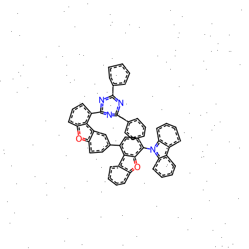 c1ccc(-c2nc(-c3ccccc3)nc(-c3cccc4oc5ccc(-c6ccc(-n7c8ccccc8c8ccccc87)c7oc8ccccc8c67)cc5c34)n2)cc1